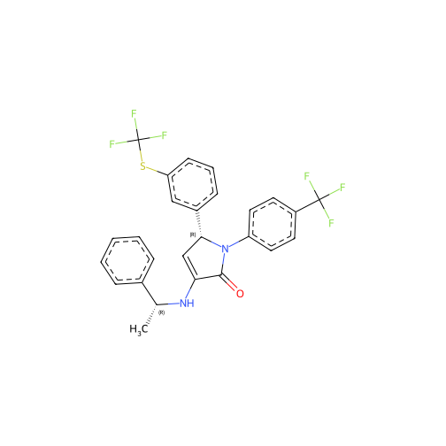 C[C@@H](NC1=C[C@H](c2cccc(SC(F)(F)F)c2)N(c2ccc(C(F)(F)F)cc2)C1=O)c1ccccc1